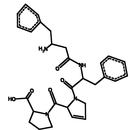 NC(CC(=O)NC(Cc1ccccc1)C(=O)N1CC=CC1C(=O)N1CCCC1C(=O)O)Cc1ccccc1